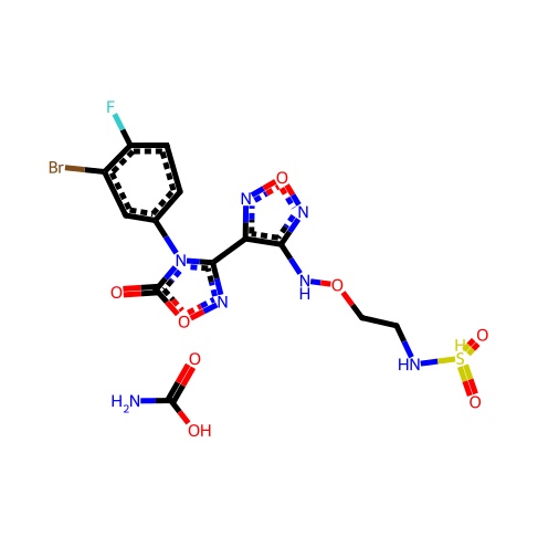 NC(=O)O.O=c1onc(-c2nonc2NOCCN[SH](=O)=O)n1-c1ccc(F)c(Br)c1